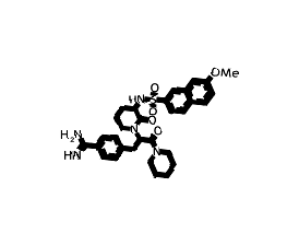 COc1ccc2ccc(S(=O)(=O)NC3CCCN(C(Cc4ccc(C(=N)N)cc4)C(=O)N4CCCCC4)C3=O)cc2c1